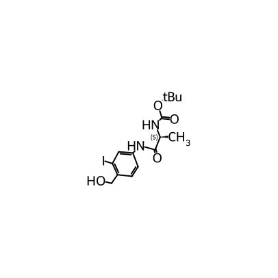 C[C@H](NC(=O)OC(C)(C)C)C(=O)Nc1ccc(CO)c(I)c1